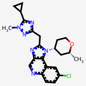 C[C@@H]1C[C@H](n2c(Cc3nc(C4CC4)n(C)n3)nc3cnc4ccc(Cl)cc4c32)CCO1